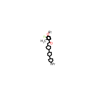 CCCC1CCC(C2CCC(C3CCC(CC(=O)c4ccc(OCC)c(F)c4C)CC3)CC2)CC1